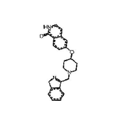 O=c1[nH]ccc2cc(OC3CCN(CC4=NCc5ccccc54)CC3)ccc12